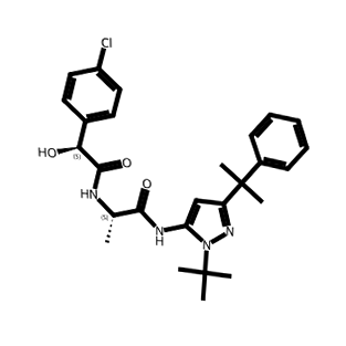 C[C@H](NC(=O)[C@@H](O)c1ccc(Cl)cc1)C(=O)Nc1cc(C(C)(C)c2ccccc2)nn1C(C)(C)C